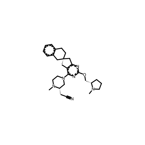 CN1CCC[C@H]1COc1nc2c(c(N3CCN(C)[C@@H](CC#N)C3)n1)C[C@]1(CCc3ccccc3C1)C2